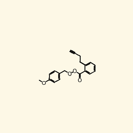 C#CCCc1ccccc1C(=O)OOCc1ccc(OC)cc1